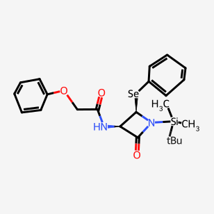 CC(C)(C)[Si](C)(C)N1C(=O)[C@@H](NC(=O)COc2ccccc2)[C@H]1[Se]c1ccccc1